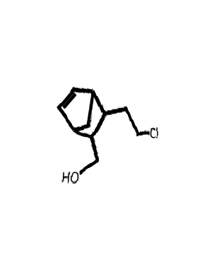 OCC1C2C=CC(C2)C1CCCl